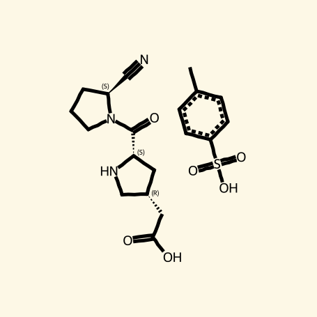 Cc1ccc(S(=O)(=O)O)cc1.N#C[C@@H]1CCCN1C(=O)[C@@H]1C[C@H](CC(=O)O)CN1